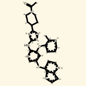 CC(=O)N1CCC(c2nsc(Nc3ncc(Sc4ccnc5ccsc45)cc3Oc3cccnc3C)n2)CC1